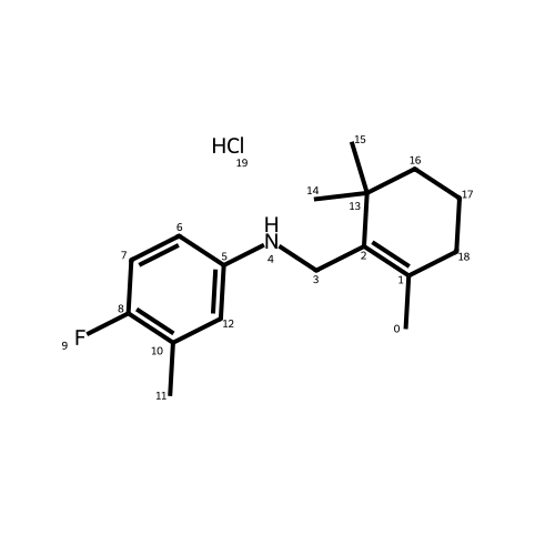 CC1=C(CNc2ccc(F)c(C)c2)C(C)(C)CCC1.Cl